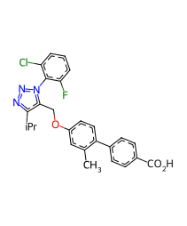 Cc1cc(OCc2c(C(C)C)nnn2-c2c(F)cccc2Cl)ccc1-c1ccc(C(=O)O)cc1